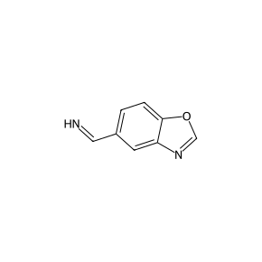 N=Cc1ccc2ocnc2c1